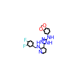 Fc1ccc(CNc2ncccc2-c2nnc(Nc3ccc4c(c3)OCO4)[nH]2)cc1F